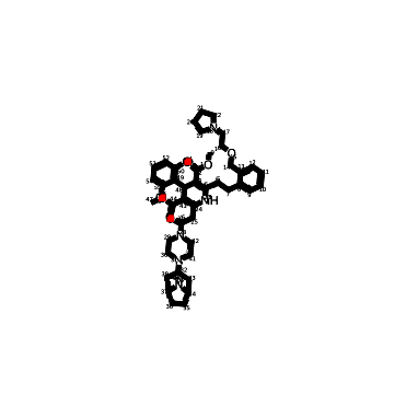 COC(=O)C1=C(CCc2ccccc2COCCN2CCCC2)NC(CC(=O)N2CCN(C3CC4CCC(C3)N4C)CC2)=C(C(=O)OC)C1c1c(Cl)cccc1Cl